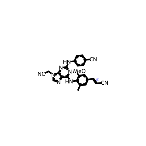 COc1cc(/C=C/C#N)cc(C)c1Nc1nc(Nc2ccc(C#N)cc2)nc2c1ncn2CC#N